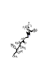 CC(C)(C)[Si](C)(C)/C=C/CNC(=O)[C@H](O)[C@@H](O)[C@H](O)[C@H](O)CO